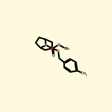 Cc1ccc(COC2CC3CCC(C2)N3C(=O)OC(C)(C)C)cc1